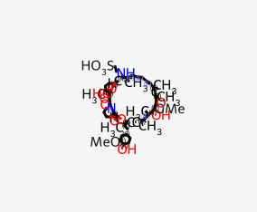 CO[C@@H]1C[C@H](C[C@@H](C)[C@@H]2CC[C@H](C)/C=C(\C)[C@@H](O)[C@@H](OC)C(=O)[C@H](C)C[C@H](C)/C=C/C=C/C=C(\C)[C@H](NCCS(=O)(=O)O)C[C@@H]3CC[C@@H](C)[C@@](O)(O3)C(=O)C(=O)N3CCCC[C@H]3C(=O)O2)CC[C@H]1O